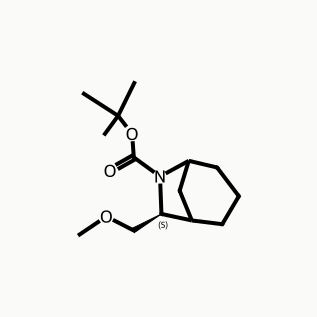 COC[C@@H]1C2CCCC(C2)N1C(=O)OC(C)(C)C